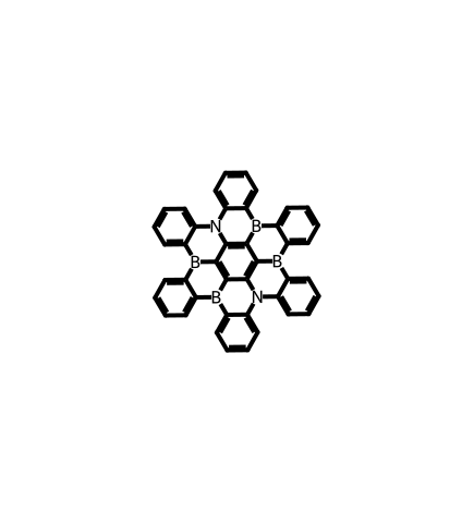 c1ccc2c(c1)B1c3ccccc3N3c4ccccc4B4c5ccccc5B5c6ccccc6N6c7ccccc7B2c2c1c3c4c5c26